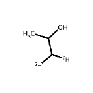 [2H]C([2H])C(C)O